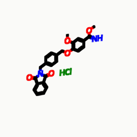 COC(=N)c1ccc(OCc2ccc(CN3C(=O)c4ccccc4C3=O)cc2)c(OC)c1.Cl